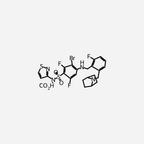 O=C(O)N(c1ccsn1)S(=O)(=O)c1c(F)cc(NCc2c(F)cccc2CN2C3CCC2CC3)c(Br)c1F